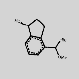 COC(c1cccc2c1CC[C@@H]2O)C(C)(C)C